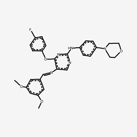 COc1cc(C=Nc2cnc(Nc3ccc(N4CCOCC4)cc3)nc2Oc2ccc(F)cc2)cc(OC)c1